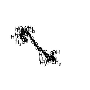 Cc1ncsc1-c1ccc([C@H](C)NC(=O)[C@@H]2C[C@@H](O)CN2C(=O)[C@@H](NC(=O)COCCOCCOCCOCCOc2ccc(CCC(=O)Nc3ccc(C4=N[C@@H](CC(=O)O)c5nnc(C)n5-c5sc(C)c(C)c54)cc3)cc2)C(C)(C)C)cc1